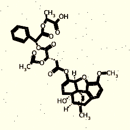 COc1ccc2c3c1O[C@@H]1C(OC(=O)C[C@H](OC(C)=O)C(=O)O[C@H](C(=O)O[C@@H](C)C(=O)O)c4ccccc4)=CC[C@]4(O)[C@H](C2)N(C)CC[C@@]314